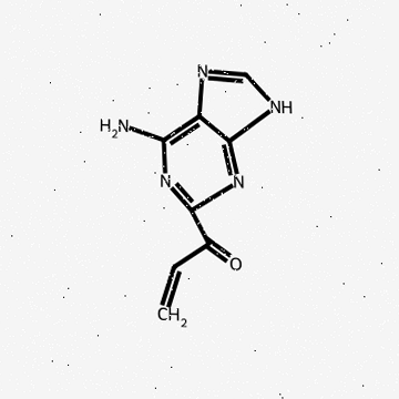 C=CC(=O)c1nc(N)c2nc[nH]c2n1